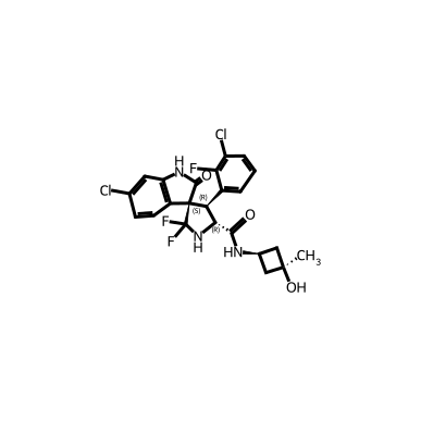 C[C@]1(O)C[C@@H](NC(=O)[C@@H]2NC(F)(F)[C@@]3(C(=O)Nc4cc(Cl)ccc43)[C@H]2c2cccc(Cl)c2F)C1